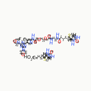 O=C(CCCC[C@@H]1SC[C@@H]2NC(=O)N[C@@H]21)NCCNC(=O)COCCOCC(=O)Nc1cc(C(F)(F)F)c(-c2nc(N3CCOCC3)nc(N3CCOCC3)n2)cn1.O=C(O)CCCC[C@@H]1SC[C@@H]2NC(=O)N[C@@H]21